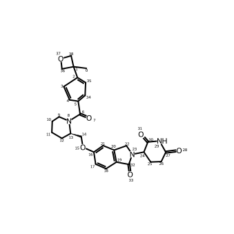 CC1(c2ccc(C(=O)N3CCCC[C@@H]3COc3ccc4c(c3)CN(C3CCC(=O)NC3=O)C4=O)cc2)COC1